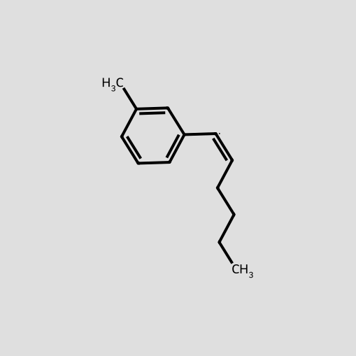 CCCC/C=[C]\c1cccc(C)c1